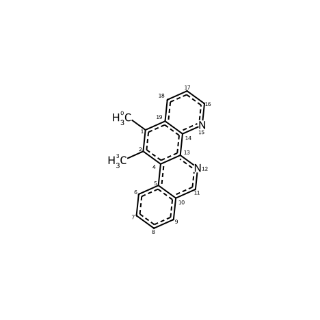 Cc1c(C)c2c3ccccc3cnc2c2ncccc12